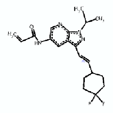 C=CC(=O)Nc1cnc2c(c1)c(/C=C/C1CCC(F)(F)CC1)nn2C(C)C